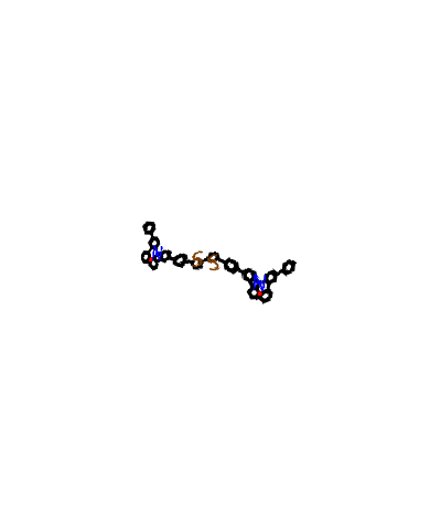 C1=C(C2CCC(c3ccc(-c4ccc5c(c4)c4ccccc4n5-c4ccc(-c5ccccc5)cc4-c4ccccc4)cc3)S2)SC(c2ccc(-c3ccc4c(c3)c3ccccc3n4-c3ccc(-c4ccccc4)cc3-c3ccccc3)cc2)C1